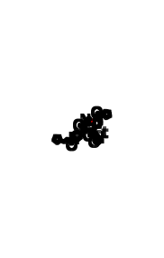 CCC(CCC(C(=O)c1ncco1)C1CCN(C(=O)CCC2CCCC2)CC1)(C(=O)c1ncco1)C1CCN(C(=O)C2CCCC2)CC1